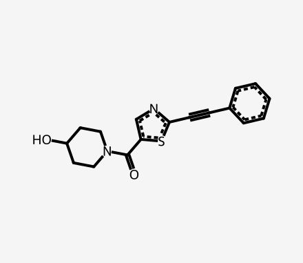 O=C(c1cnc(C#Cc2ccccc2)s1)N1CCC(O)CC1